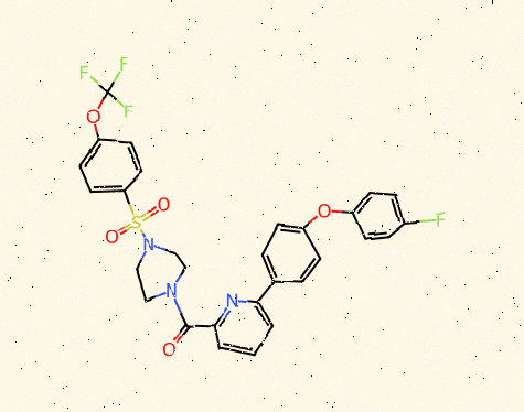 O=C(c1cccc(-c2ccc(Oc3ccc(F)cc3)cc2)n1)N1CCN(S(=O)(=O)c2ccc(OC(F)(F)F)cc2)CC1